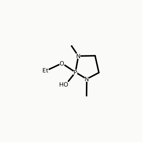 CCO[P]1(O)N(C)CCN1C